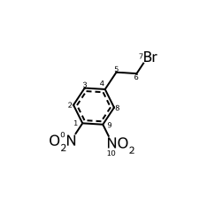 O=[N+]([O-])c1ccc(CCBr)cc1[N+](=O)[O-]